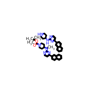 CN(c1nccc(-c2ccc3ccccc3c2)n1)C1CCN(C(=O)OC(C)(C)C)CC1.c1ccc2cc(-c3ccnc(NC4CCNCC4)n3)ccc2c1